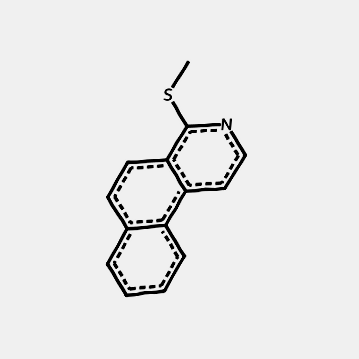 CSc1nccc2c1ccc1ccccc12